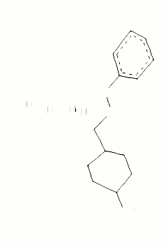 CCCCCC1CCC(COSc2ccccc2)CC1.F.F.F.F.F